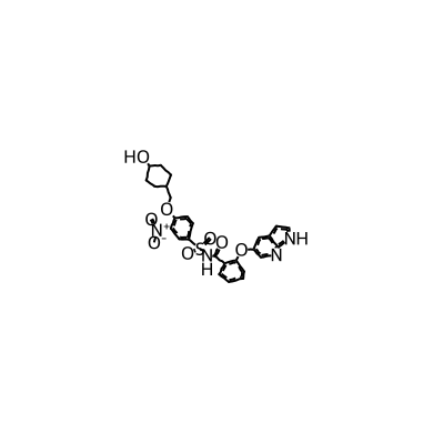 O=C(NS(=O)(=O)c1ccc(OCC2CCC(O)CC2)c([N+](=O)[O-])c1)c1ccccc1Oc1cnc2[nH]ccc2c1